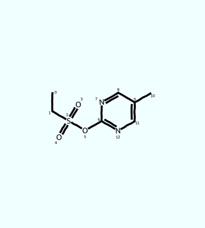 CCS(=O)(=O)Oc1ncc(C)cn1